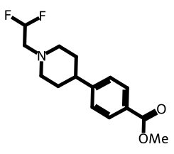 COC(=O)c1ccc(C2CCN(CC(F)F)CC2)cc1